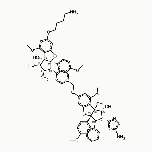 COc1ccc([C@@]23Oc4cc(OCCCCN)cc(OC)c4[C@]2(O)[C@H](O)[C@H](N)[C@H]3c2ccc(COc3cc(OC)c4c(c3)O[C@@]3(c5ccc(OC)cc5)[C@H](c5ccccc5)[C@@H](c5nnc(N)o5)[C@@H](O)[C@@]43O)cc2)cc1